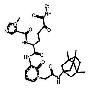 CCNC(=O)C(=O)CC[C@H](NC(=O)c1cncn1C)C(=O)Nc1cccn(CC(=O)NC23CC4(C)CC(C)(C2)C(C)(C4)C3)c1=O